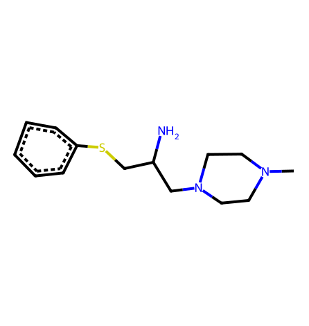 CN1CCN(CC(N)CSc2ccccc2)CC1